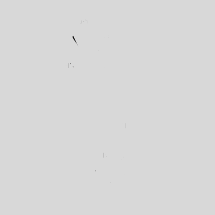 CC(C)C[C@H](NCCc1ccc(B2OC(C)(C)C(C)(C)O2)c(Cl)c1)C(=O)OC1CCCC1